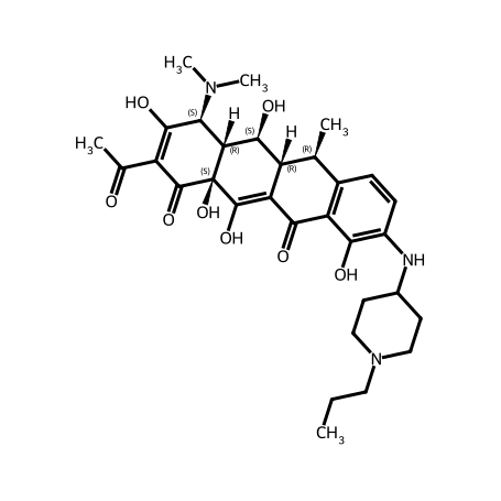 CCCN1CCC(Nc2ccc3c(c2O)C(=O)C2=C(O)[C@]4(O)C(=O)C(C(C)=O)=C(O)[C@@H](N(C)C)[C@@H]4[C@@H](O)[C@@H]2[C@H]3C)CC1